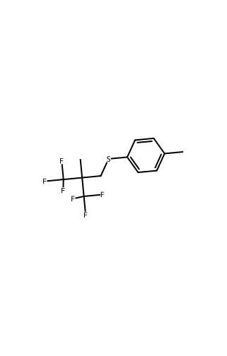 Cc1ccc(SCC(C)(C(F)(F)F)C(F)(F)F)cc1